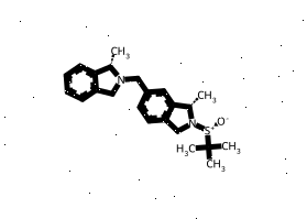 C[C@H]1c2ccccc2CN1Cc1ccc2c(c1)[C@H](C)N([S@@+]([O-])C(C)(C)C)C2